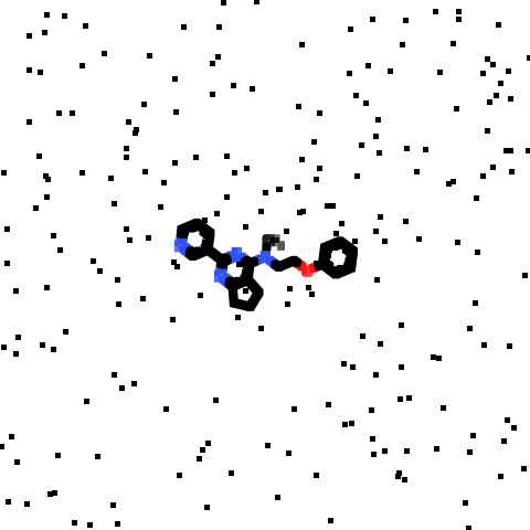 CN(CCOc1ccccc1)c1nc(-c2cccnc2)nc2c1CCC2